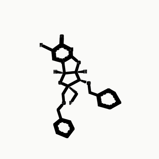 O=c1nc2n(cc1F)[C@@H]1O[C@](CF)(COCc3ccccc3)[C@@H](OCc3ccccc3)[C@@H]1O2